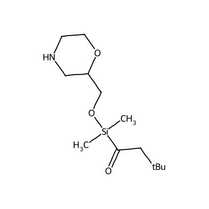 CC(C)(C)CC(=O)[Si](C)(C)OCC1CNCCO1